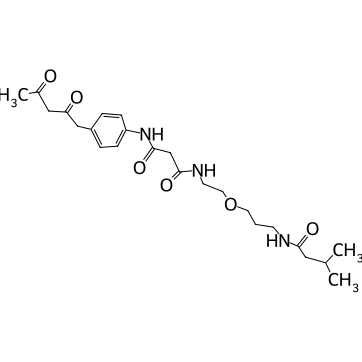 CC(=O)CC(=O)Cc1ccc(NC(=O)CC(=O)NCCOCCCNC(=O)CC(C)C)cc1